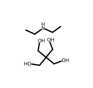 CCNCC.OCC(CO)(CO)CO